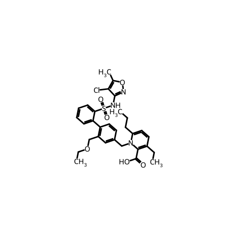 CCCC1=C=CC(CC)=C(C(=O)O)N1Cc1ccc(-c2ccccc2S(=O)(=O)Nc2noc(C)c2Cl)c(COCC)c1